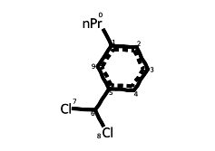 CCCc1cccc(C(Cl)Cl)c1